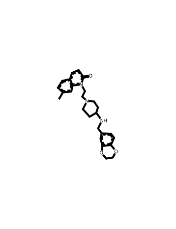 Cc1ccc2ccc(=O)n(CCN3CCC(NCc4ccc5c(c4)OCCO5)CC3)c2c1